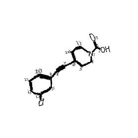 O=C(O)N1CCC(C#Cc2cccc(Cl)c2)CC1